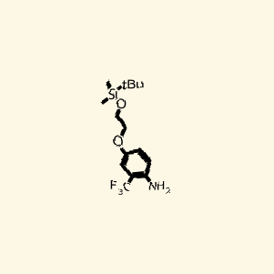 CC(C)(C)[Si](C)(C)OCCOc1ccc(N)c(C(F)(F)F)c1